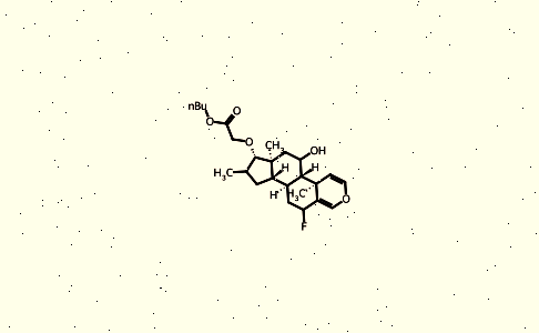 CCCCOC(=O)CO[C@H]1C(C)C[C@H]2[C@@H]3CC(F)C4=COC=C[C@]4(C)[C@H]3C(O)C[C@]12C